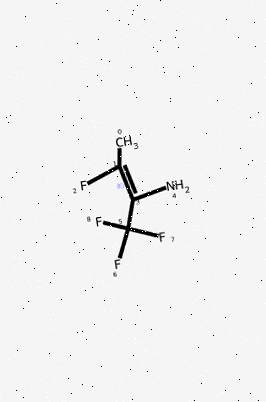 C/C(F)=C(\N)C(F)(F)F